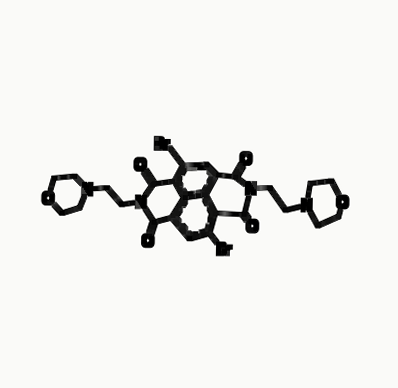 O=C1c2cc(Br)c3c4c(cc(Br)c(c24)C(=O)N1CCN1CCOCC1)C(=O)N(CCN1CCOCC1)C3=O